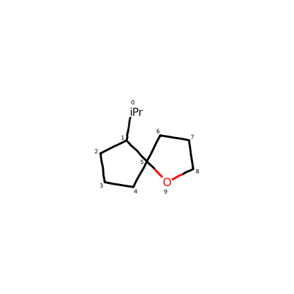 CC(C)C1CCCC12CCCO2